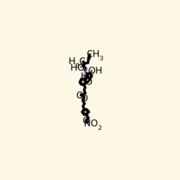 CC#CCC(C)[C@@H](O)/C=C/[C@H]1[C@@H]2c3cccc(CCCC(=O)OCCCc4ccc(CO[N+](=O)[O-])cc4)c3OC2C[C@@H]1O